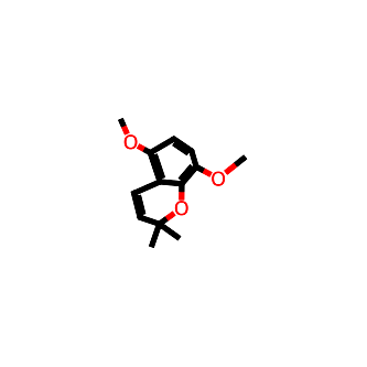 COc1ccc(OC)c2c1C=CC(C)(C)O2